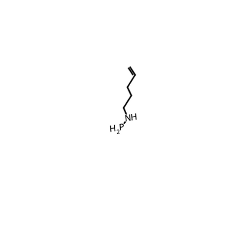 C=CCCCNP